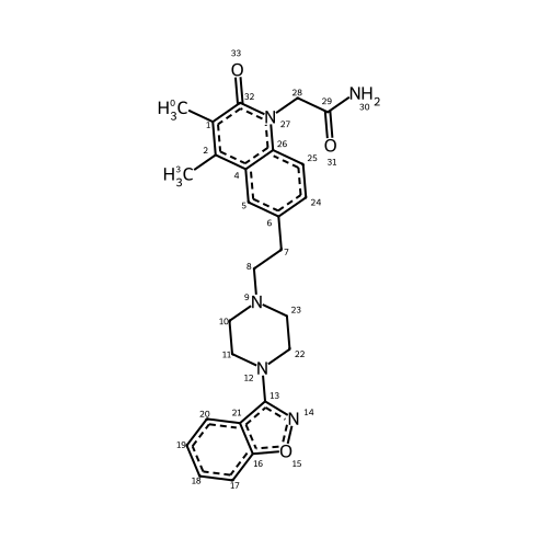 Cc1c(C)c2cc(CCN3CCN(c4noc5ccccc45)CC3)ccc2n(CC(N)=O)c1=O